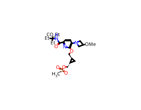 CCOC(=O)C(CC)(CC)NC(=O)c1ccc(N2CC(OC)C2)c(OC[C@H]2C[C@@H]2COS(C)(=O)=O)n1